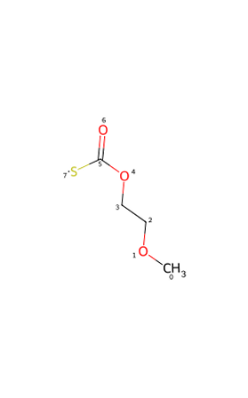 COCCOC(=O)[S]